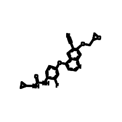 N#Cc1cc2c(Oc3ccc(NC(=O)NC4CC4)c(F)c3)ccnc2cc1OCC1CO1